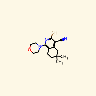 CC1(C)CCc2c(N3CCOCC3)nc(S)c(C#N)c2C1